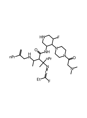 C=C(CCC)CNC(C)C(C(=O)NC1CNCC(F)C1N1CCN(C(=O)CN(C)C)CC1)C(C)(CCC)N=C=C(F)CC